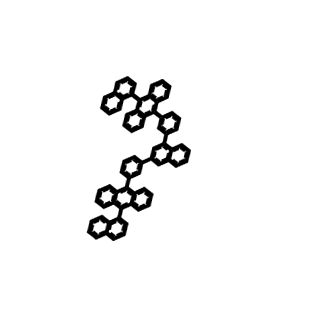 c1cc(-c2cc(-c3cccc(-c4c5ccccc5c(-c5cccc6ccccc56)c5ccccc45)c3)c3ccccc3c2)cc(-c2c3ccccc3c(-c3cccc4ccccc34)c3ccccc23)c1